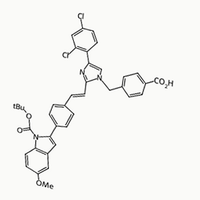 COc1ccc2c(c1)cc(-c1ccc(C=Cc3nc(-c4ccc(Cl)cc4Cl)cn3Cc3ccc(C(=O)O)cc3)cc1)n2C(=O)OC(C)(C)C